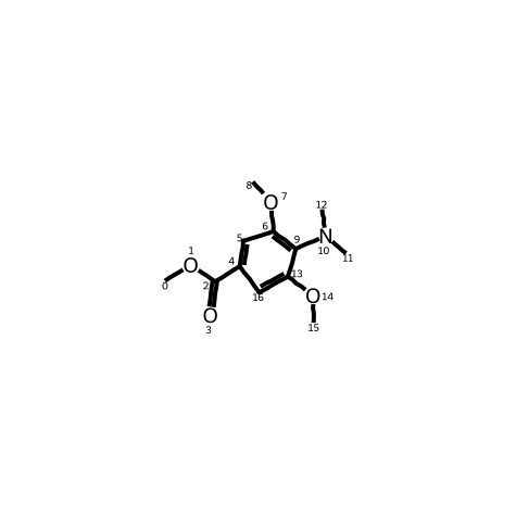 COC(=O)c1cc(OC)c(N(C)C)c(OC)c1